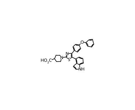 O=C(O)C1CCN(c2nc(-c3ccc(Oc4ccccc4)cc3)c(-c3cccc4[nH]ccc34)s2)CC1